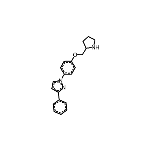 c1ccc(-c2ccn(-c3ccc(OCC4CCCN4)cc3)n2)cc1